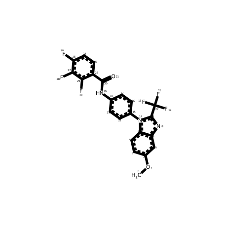 COc1ccc2c(c1)nc(C(F)(F)F)n2-c1ccc(NC(=O)c2ccc(F)c(F)c2F)cc1